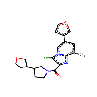 O=C(c1nc2c(C(F)(F)F)cc(-c3ccoc3)cn2c1Cl)N1CCC(C2CCOC2)C1